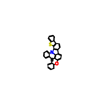 c1ccc2c(c1)Oc1ccc3c4ccc5c6ccccc6sc5c4n4c3c1B2c1ccccc1-4